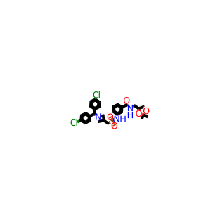 CC1(C)OCC(CNC(=O)c2cccc(NS(=O)(=O)CC3CN(C(c4ccc(Cl)cc4)c4ccc(Cl)cc4)C3)c2)O1